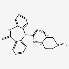 C[C@H]1CN(C)CC[C@H]1OC(=O)N1c2ccccc2NC(=O)c2ccccc21